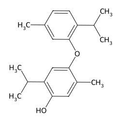 Cc1ccc(C(C)C)c(Oc2cc(C(C)C)c(O)cc2C)c1